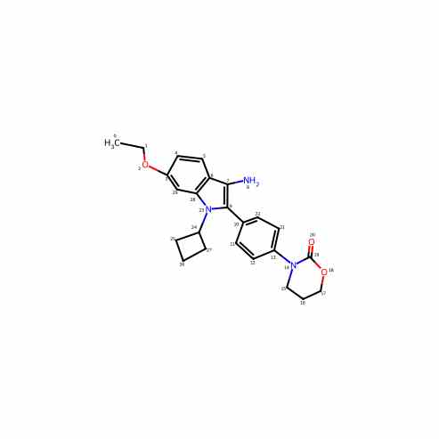 CCOc1ccc2c(N)c(-c3ccc(N4CCCOC4=O)cc3)n(C3CCC3)c2c1